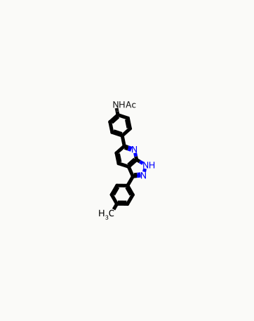 CC(=O)Nc1ccc(-c2ccc3c(-c4ccc(C)cc4)n[nH]c3n2)cc1